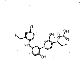 CCC(NC(=O)O)c1ccc(-c2cc(Nc3ccc(Cl)cc3CF)ccc2O)nc1N